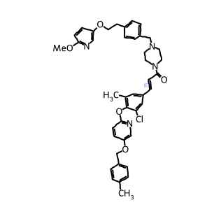 COc1ccc(OCCc2ccc(CN3CCN(C(=O)/C=C/c4cc(C)c(Oc5ccc(OCc6ccc(C)cc6)cn5)c(Cl)c4)CC3)cc2)cn1